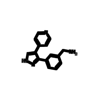 NCc1cccc(-c2n[nH]cc2-c2ccncc2)c1